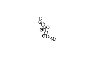 COc1cc(N2C(=O)c3ccc(OC4C=CCC4)cc3C2=O)ccc1OCCN1CCCC1